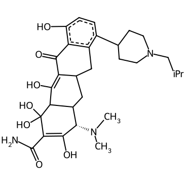 CC(C)CN1CCC(c2ccc(O)c3c2CC2CC4C(C(O)=C2C3=O)C(O)(O)C(C(N)=O)=C(O)[C@H]4N(C)C)CC1